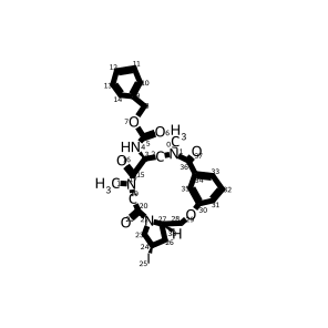 CN1C[C@H](NC(=O)OCc2ccccc2)C(=O)N(C)CC(=O)N2C[C@H](I)C[C@H]2COc2cccc(c2)C1=O